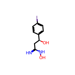 N=C(C[C@H](O)c1ccc(I)cc1)NO